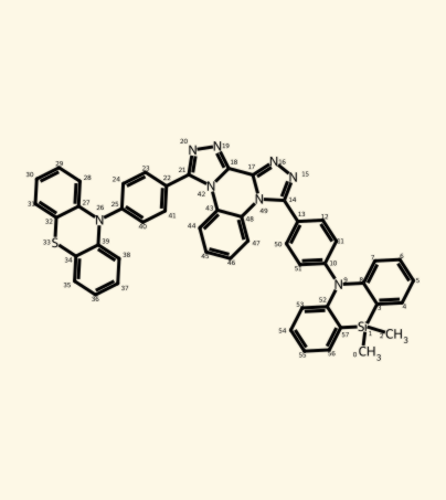 C[Si]1(C)c2ccccc2N(c2ccc(-c3nnc4c5nnc(-c6ccc(N7c8ccccc8Sc8ccccc87)cc6)n5c5ccccc5n34)cc2)c2ccccc21